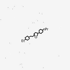 CCCC1CCC(C2CC=C(CCC3CCC(CC)CC3)OC2)CC1